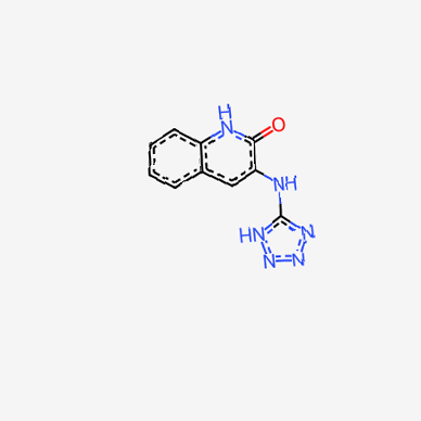 O=c1[nH]c2ccccc2cc1Nc1nnn[nH]1